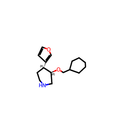 c1cc([C@H]2CCNC[C@@H]2OCC2CCCCC2)co1